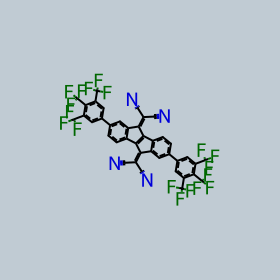 N#CC(C#N)=C1C2=C(C(=C(C#N)C#N)c3cc(-c4cc(C(F)(F)F)c(C(F)(F)F)c(C(F)(F)F)c4)ccc32)c2ccc(-c3cc(C(F)(F)F)c(C(F)(F)F)c(C(F)(F)F)c3)cc21